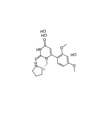 COc1ccc(-c2cc(=O)[nH]c(=S)n2C[C@@H]2CCCN2)c(OC)c1.Cl.Cl.Cl